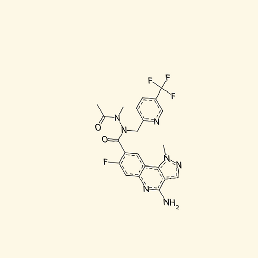 CC(=O)N(C)N(Cc1ccc(C(F)(F)F)cn1)C(=O)c1cc2c(cc1F)nc(N)c1cnn(C)c12